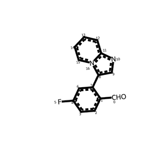 O=Cc1ccc(F)cc1-c1cnc2ccccn12